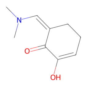 CN(C)/C=C1/CCC=C(O)C1=O